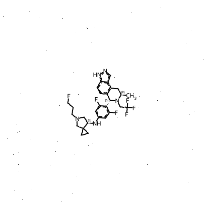 C[C@@H]1Cc2c(ccc3[nH]ncc23)[C@@H](c2c(F)cc(N[C@@H]3CN(CCCF)CC34CC4)cc2F)N1CC(F)(F)F